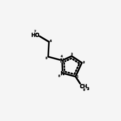 Cc1ccn(CCO)n1